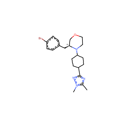 Cc1nc(C2CCC(N3CCOC[C@@H]3Cc3ccc(Br)cc3)CC2)nn1C